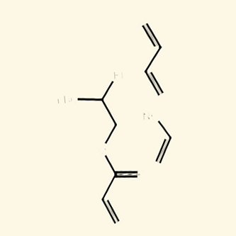 C=CC#N.C=CC(=O)OCC(CC)CCCC.C=CC=C